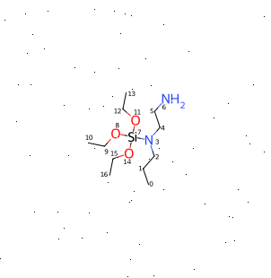 CCCN(CCN)[Si](OCC)(OCC)OCC